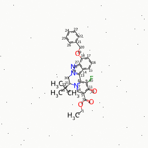 CCOC(=O)c1cn2c(c(F)c1=O)-c1c3cccc(OCc4ccccc4)c3nn1CC2C(C)(C)C